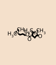 C[C@@H]1[C@@H](C(=O)OCCCN(C)C)CC(=O)N1C